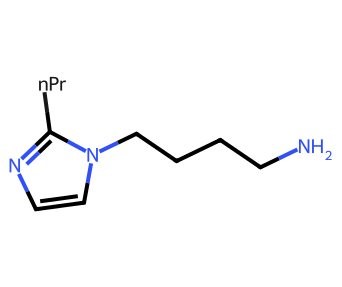 CCCc1nccn1CCCCN